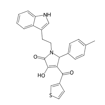 Cc1ccc(C2C(C(=O)c3ccsc3)=C(O)C(=O)N2CCc2c[nH]c3ccccc23)cc1